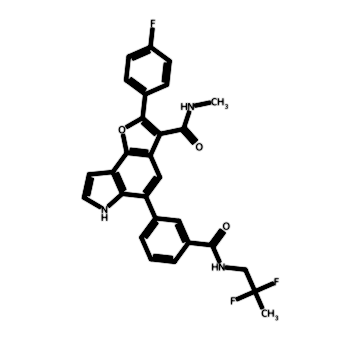 CNC(=O)c1c(-c2ccc(F)cc2)oc2c1cc(-c1cccc(C(=O)NCC(C)(F)F)c1)c1[nH]ccc12